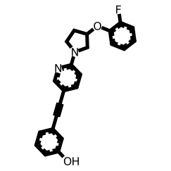 Oc1cccc(C#Cc2ccc(N3CCC(Oc4ccccc4F)C3)nc2)c1